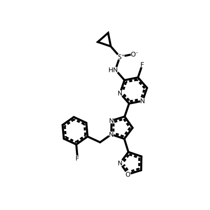 [O-][S+](Nc1nc(-c2cc(-c3ccon3)n(Cc3ccccc3F)n2)ncc1F)C1CC1